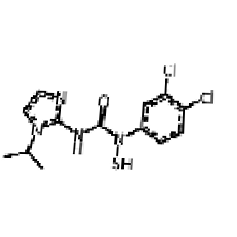 CC(C)n1ccnc1NC(=O)N(S)c1ccc(Cl)c(Cl)c1